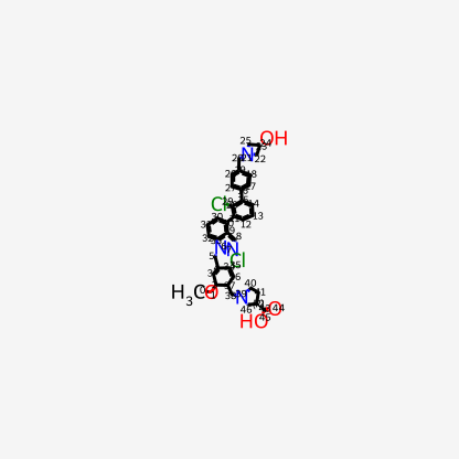 COC1C=C(Cn2ncc3c(-c4cccc(-c5ccc(CN6CC(O)C6)cc5)c4Cl)cccc32)C(Cl)=CC1CN1CC[C@@H](C(=O)O)C1